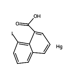 O=C(O)c1cccc2cccc(I)c12.[Hg]